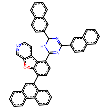 c1ccc2cc(C3=NC(c4ccc5ccccc5c4)NC(c4ccc(-c5cc6ccccc6c6ccccc56)c5oc6cnccc6c45)=N3)ccc2c1